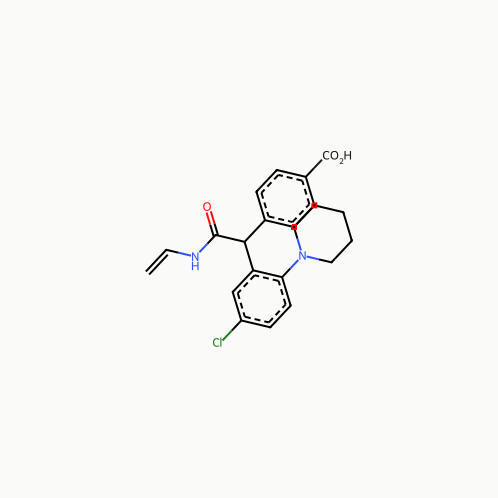 C=CNC(=O)C(c1ccc(C(=O)O)cc1)c1cc(Cl)ccc1N1CCCCC1